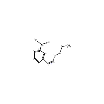 CCCO/N=[C]\c1cccc(C(F)F)c1